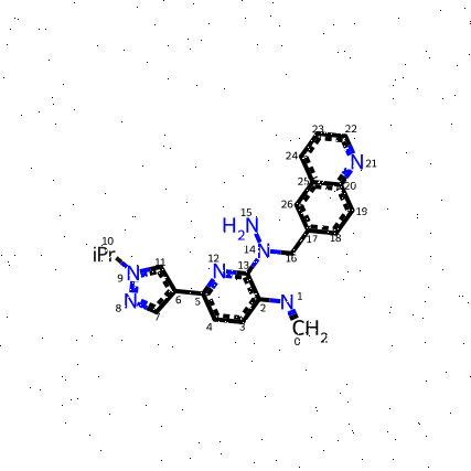 C=Nc1ccc(-c2cnn(C(C)C)c2)nc1N(N)Cc1ccc2ncccc2c1